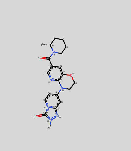 C[C@@H]1CCCCN1C(=O)c1cnc2c(c1)OCCN2c1ccn2c(=O)n(C)nc2c1